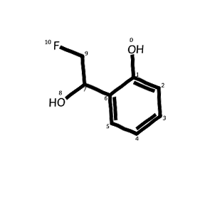 Oc1ccccc1C(O)CF